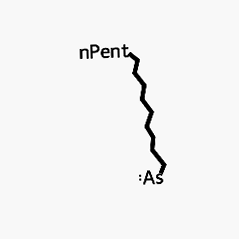 CCCCCCCCCCCCCC[As]